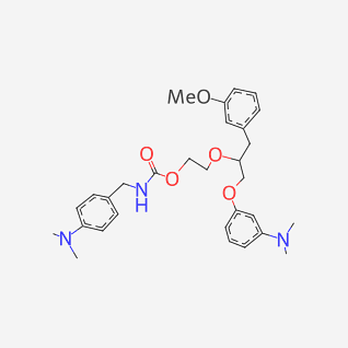 COc1cccc(CC(COc2cccc(N(C)C)c2)OCCOC(=O)NCc2ccc(N(C)C)cc2)c1